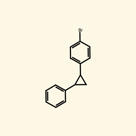 Brc1ccc(C2CC2c2ccccc2)cc1